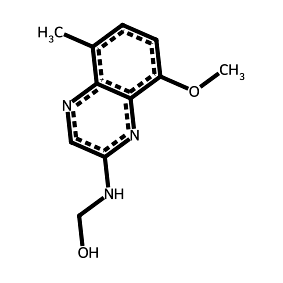 COc1ccc(C)c2ncc(NCO)nc12